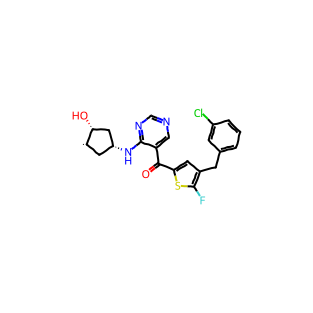 O=C(c1cc(Cc2cccc(Cl)c2)c(F)s1)c1cncnc1N[C@@H]1C[CH][C@H](O)C1